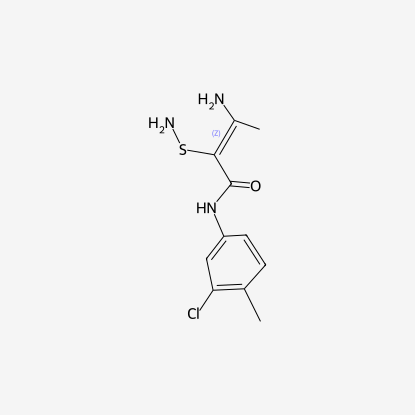 C/C(N)=C(/SN)C(=O)Nc1ccc(C)c(Cl)c1